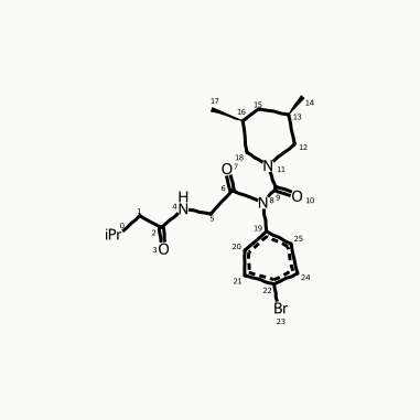 CC(C)CC(=O)NCC(=O)N(C(=O)N1C[C@H](C)C[C@H](C)C1)c1ccc(Br)cc1